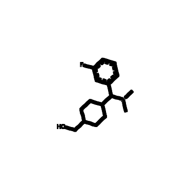 CN(C)C(c1cccc(F)c1)C1CCC(CO)CC1